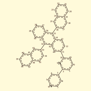 c1cc(-c2ccncc2)nc(-c2ccc3c(-c4ccc5ccccc5c4)c4ccccc4c(-c4ccc5ccccc5c4)c3c2)c1